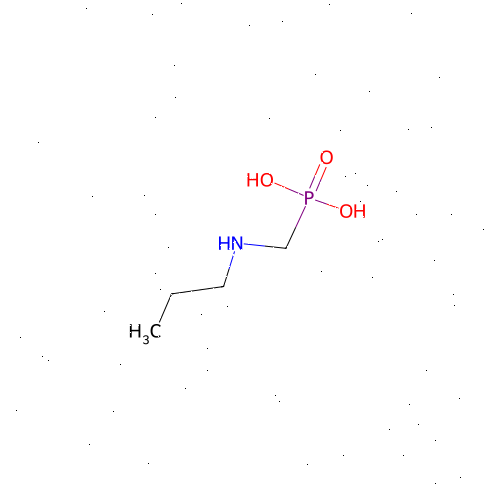 CCCNCP(=O)(O)O